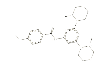 COc1ccc(C(=O)Nc2cc(N3CCOC[C@@H]3C)nc(N3CCOC[C@@H]3C)n2)cc1